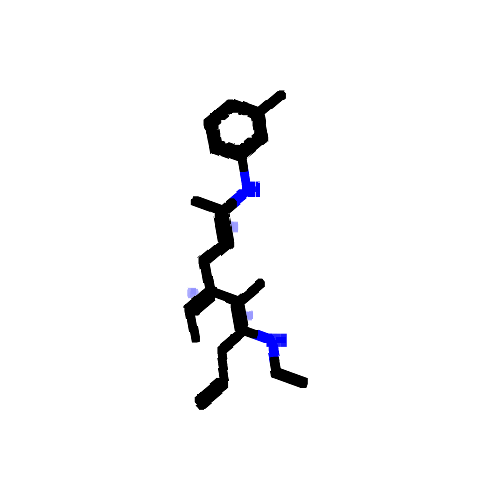 C=CC/C(NCC)=C(C)\C(=C/C)C/C=C(\C)Nc1cccc(C)c1